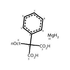 CCCCCCCCC(C(=O)O)(C(=O)O)c1ccccc1.[MgH2]